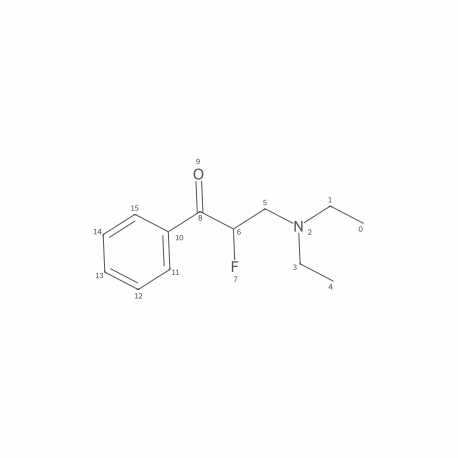 CCN(CC)CC(F)C(=O)c1ccccc1